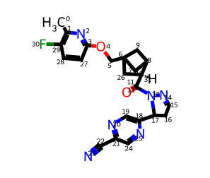 Cc1nc(OCC23CC(C2)[C@@H](C(=O)N2N=CCC2c2cnc(C#N)cn2)C3)ccc1F